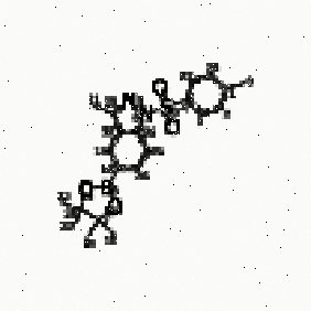 Cc1ccc(S(=O)(=O)n2nc(C)c3cc(B4OC(C)(C)C(C)(C)O4)ccc32)cc1